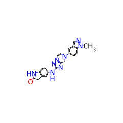 Cn1ncc2cc(N3C=Cn4nc(Nc5ccc6c(c5)CC(=O)N6)nc4C3)ccc21